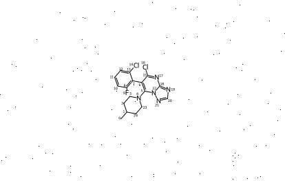 CC1CCN(c2c(-c3c(F)cccc3Cl)c(Cl)nc3ncnn23)CC1